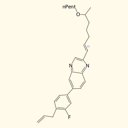 C=CCc1ccc(-c2ccc3nc(/C=C/CCCC(C)OCCCCC)cnc3c2)cc1F